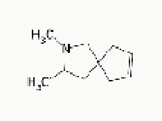 CC1CC2(CC=CC2)CN1C